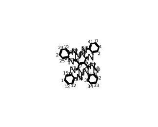 c1ccc2nc(C(=C(c3nnc4ccccc4n3)c3nnc4ccccc4n3)c3nnc4ccccc4n3)nnc2c1